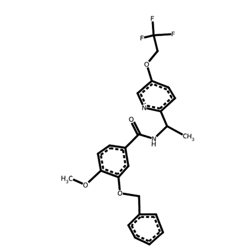 COc1ccc(C(=O)NC(C)c2ccc(OCC(F)(F)F)cn2)cc1OCc1ccccc1